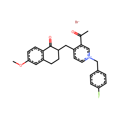 COc1ccc2c(c1)CCC(Cc1cc[n+](Cc3ccc(F)cc3)cc1C(C)=O)C2=O.[Br-]